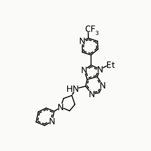 CCn1c(-c2ccc(C(F)(F)F)nc2)nc2c(N[C@H]3CCN(c4ccccn4)C3)ncnc21